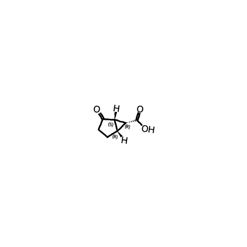 O=C(O)[C@@H]1[C@@H]2CCC(=O)[C@@H]21